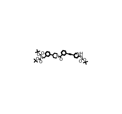 CC(C)(C)OC(=O)Nc1ccc(C#Cc2cccc(C(=O)N3CCC(c4cccc(CN(C(=O)OC(C)(C)C)C(=O)OC(C)(C)C)c4)CC3)c2)cn1